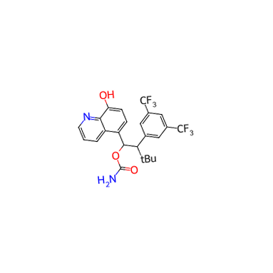 CC(C)(C)C(c1cc(C(F)(F)F)cc(C(F)(F)F)c1)C(OC(N)=O)c1ccc(O)c2ncccc12